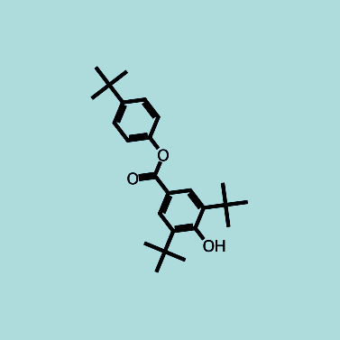 CC(C)(C)c1ccc(OC(=O)c2cc(C(C)(C)C)c(O)c(C(C)(C)C)c2)cc1